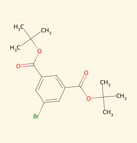 CC(C)(C)OC(=O)c1cc(Br)cc(C(=O)OC(C)(C)C)c1